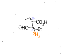 C/C=C(C(=O)O)\C(C=O)=C(\P)CC